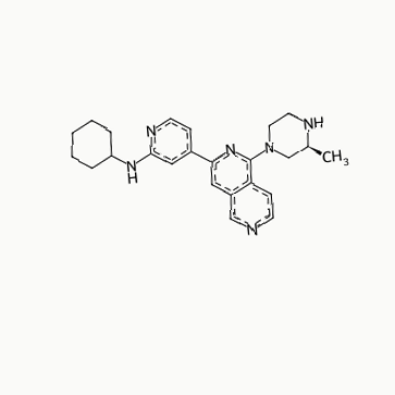 C[C@H]1CN(c2nc(-c3ccnc(NC4CCCCC4)c3)cc3cnccc23)CCN1